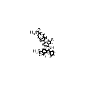 CC(=O)N1CC[C@@H]2C[C@H](CC1)C[C@H](C(=O)N1C[C@H](F)C[C@H]1C(=O)N[C@@H](c1ccccc1)c1ccc(C(C)C)cc1)C2